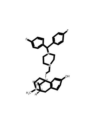 C[C@@H]1[C@@H]2Cc3ccc(O)cc3[C@]1(CCN1CCN(C(c3ccc(F)cc3)c3ccc(F)cc3)CC1)CCN2C